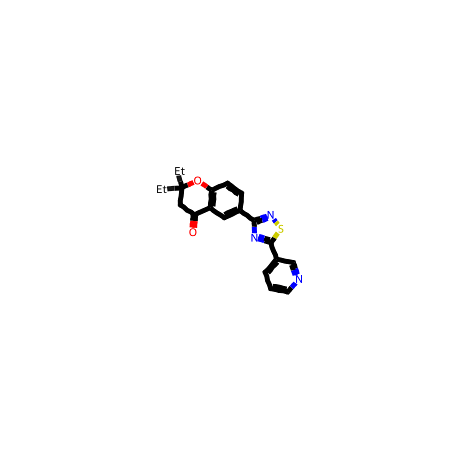 CCC1(CC)CC(=O)c2cc(-c3nsc(-c4cccnc4)n3)ccc2O1